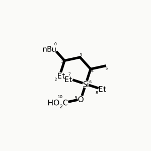 CCCCC(CC)CC(C)[Si](CC)(CC)OC(=O)O